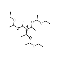 CCOC(C)OC(C)[SiH](C(C)OC(C)OCC)C(C)OC(C)OCC